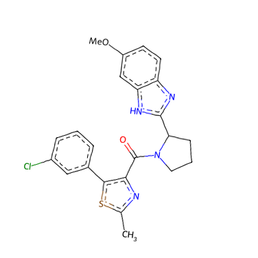 COc1ccc2nc(C3CCCN3C(=O)c3nc(C)sc3-c3cccc(Cl)c3)[nH]c2c1